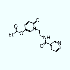 CCC(=O)Oc1ccc(=O)n(CCNC(=O)c2cccnc2)c1